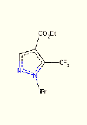 CCOC(=O)c1cnn(C(C)C)c1C(F)(F)F